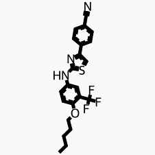 CCCCCOc1ccc(Nc2nc(-c3ccc(C#N)cc3)cs2)cc1C(F)(F)F